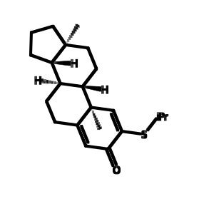 CC(C)SC1=C[C@@]2(C)C(=CC1=O)CC[C@H]1[C@@H]3CCC[C@@]3(C)CC[C@@H]12